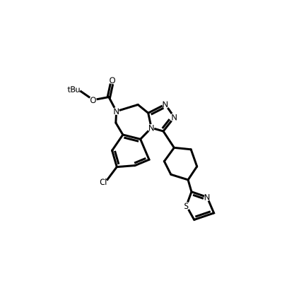 CC(C)(C)OC(=O)N1Cc2cc(Cl)ccc2-n2c(nnc2C2CCC(c3nccs3)CC2)C1